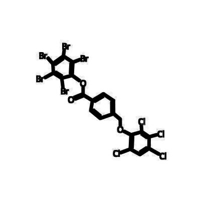 O=C(Oc1c(Br)c(Br)c(Br)c(Br)c1Br)c1ccc(COc2c(Cl)cc(Cl)c(Cl)c2Cl)cc1